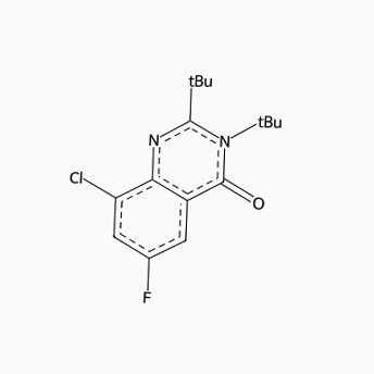 CC(C)(C)c1nc2c(Cl)cc(F)cc2c(=O)n1C(C)(C)C